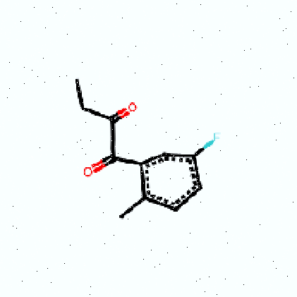 CCC(=O)C(=O)c1cc(F)ccc1C